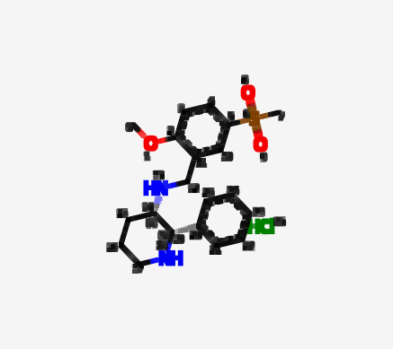 COc1ccc(S(C)(=O)=O)cc1CN[C@H]1CCCN[C@H]1c1ccccc1.Cl